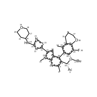 CC(=O)[C@@H](OC(C)(C)C)c1c(C)nc2c(cc(-c3nc(NC4CCOCC4)ns3)n2C)c1-c1cc(F)c2c(c1C)CCCO2